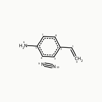 C=Cc1ccc(N)cc1.N#N